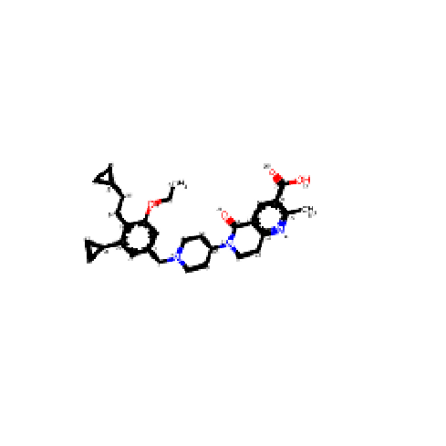 CCOc1cc(CN2CCC(N3CCc4nc(C)c(C(=O)O)cc4C3=O)CC2)cc(C2CC2)c1CCC1CC1